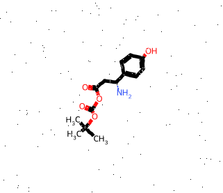 CC(C)(C)OC(=O)OC(=O)C[C@@H](N)c1ccc(O)cc1